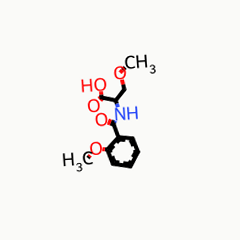 COCC(NC(=O)c1ccccc1OC)C(=O)O